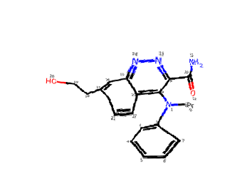 CC(C)N(c1ccccc1)c1c(C(N)=O)nnc2cc(CCO)ccc12